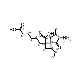 CCCC1(C(=O)CN)C(CC)CC1(CCCCCC(=O)O)C(=O)O